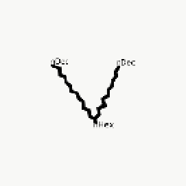 [CH2]CCCCCC(CCCCCCCCCCCCCCCCCCCCC)CCCCCCCCCCCCCCCCCCCCCCC